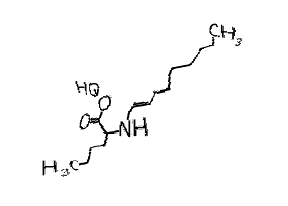 CCCCCCCC=CNC(CCCC)C(=O)OO